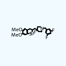 COc1cc2c(cc1OC)SOC(CC1(F)CCN(Cc3cc(F)cc(F)c3)CC1)C2